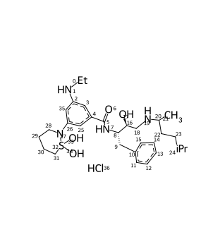 CCNc1cc(C(=O)N[C@@H](Cc2ccccc2)[C@@H](O)CNC(C)CCC(C)C)cc(N2CCCCS2(O)O)c1.Cl